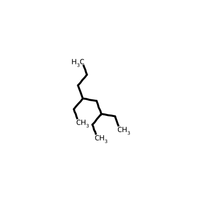 CCCC(CC)C[C](CC)CC